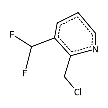 FC(F)c1cccnc1CCl